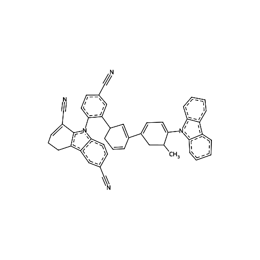 CC1CC(C2=CC(c3cc(C#N)ccc3-n3c4c(c5cc(C#N)ccc53)CCC=C4C#N)CC=C2)=CC=C1n1c2ccccc2c2ccccc21